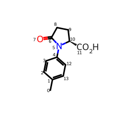 Cc1ccc(N2C(=O)CC[C@H]2C(=O)O)cc1